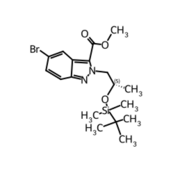 COC(=O)c1c2cc(Br)ccc2nn1C[C@H](C)O[Si](C)(C)C(C)(C)C